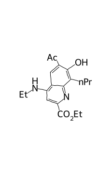 CCCc1c(O)c(C(C)=O)cc2c(NCC)cc(C(=O)OCC)nc12